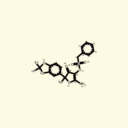 [2H]C1(c2ccc3c(c2)OC(F)(F)O3)OC(N)=C(OS(=O)(=O)Cc2ccccc2)C1=O